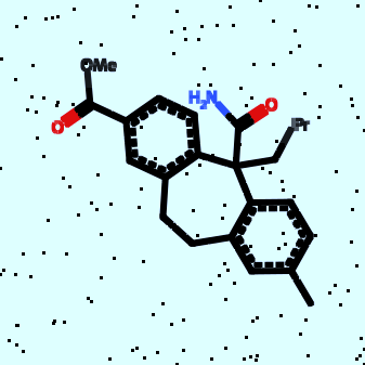 COC(=O)c1ccc2c(c1)CCc1cc(C)ccc1C2(CC(C)C)C(N)=O